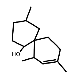 CC1=CC(C)C2(CC1)CC(C)CCC2O